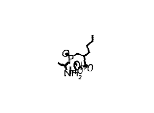 CCCCC(CP(=O)(O)C(C)N)C(=O)O